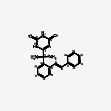 NC(N)(c1cc(=O)[nH]c(=O)[nH]1)c1ccccc1C=Cc1ccccc1